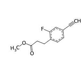 C#Cc1ccc(CCC(=O)OC)c(F)c1